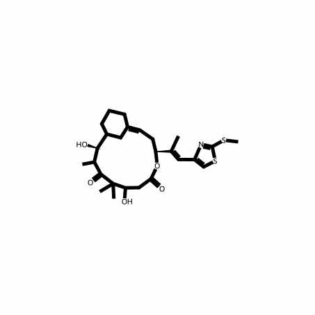 CSc1nc(/C=C(\C)[C@@H]2C/C=C3/CCCC(C3)[C@H](O)C(C)C(=O)C(C)(C)C(O)CC(=O)O2)cs1